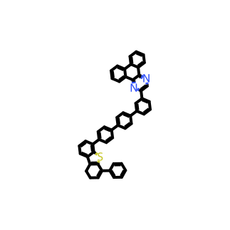 C1=C(c2ccccc2)c2sc3c(-c4ccc(-c5ccc(-c6cccc(-c7cnc8c9ccccc9c9ccccc9c8n7)c6)cc5)cc4)cccc3c2CC1